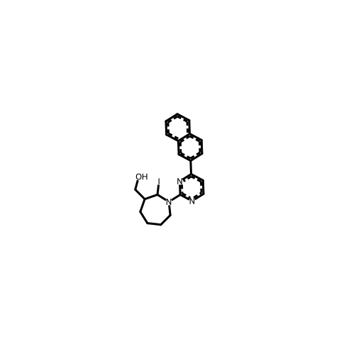 OCC1CCCCN(c2nccc(-c3ccc4ccccc4c3)n2)C1I